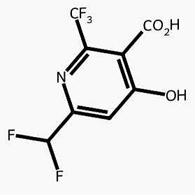 O=C(O)c1c(O)cc(C(F)F)nc1C(F)(F)F